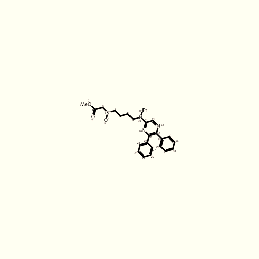 COC(=O)C[S+]([O-])CCCCN(c1cnc(-c2ccccc2)c(-c2ccccc2)n1)C(C)C